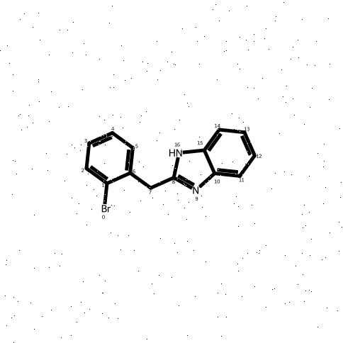 Brc1ccccc1Cc1nc2ccccc2[nH]1